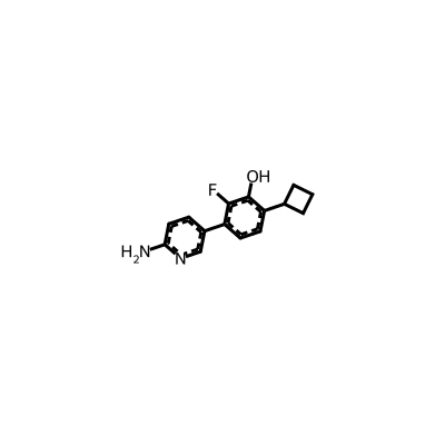 Nc1ccc(-c2ccc(C3CCC3)c(O)c2F)cn1